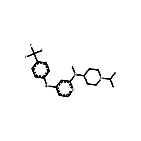 CC(C)N1CCC(N(C)c2cc(Nc3ccc(C(F)(F)F)cc3)ccn2)CC1